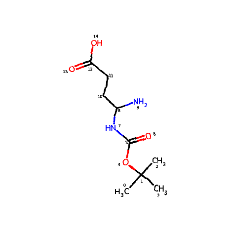 CC(C)(C)OC(=O)NC(N)CCC(=O)O